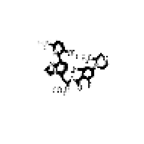 Nc1ccc(C(F)(F)F)c(-c2ccc(CC(NC(=O)c3c(F)cc(N4CCOCC4C(F)(F)F)cc3F)C(=O)O)n3ccnc23)n1